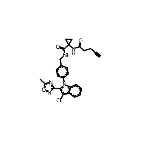 C#CCCC(=O)NC1(C(=O)NCc2ccc(-n3c(-c4noc(C)n4)c(Cl)c4ccccc43)cc2)CC1